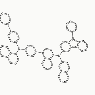 c1ccc(-c2ccc(N(c3ccc(-c4ccc(N(c5ccc6ccccc6c5)c5ccc6c(c5)c5ccccc5n6-c5ccccc5)c5ccccc45)cc3)c3cccc4ccccc34)cc2)cc1